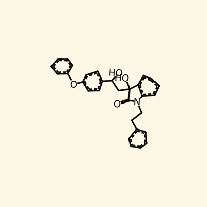 O=C1N(CCc2ccccc2)c2ccccc2C1(O)CC(O)c1ccc(Oc2ccccc2)cc1